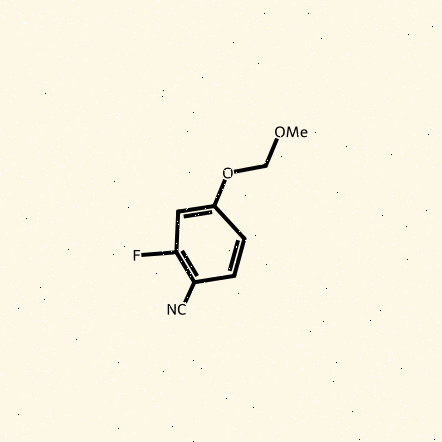 COCOc1ccc(C#N)c(F)c1